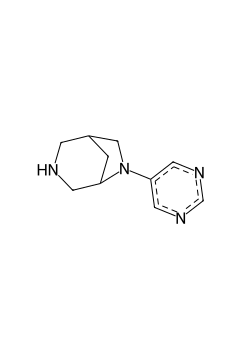 c1ncc(N2CC3CNCC2C3)cn1